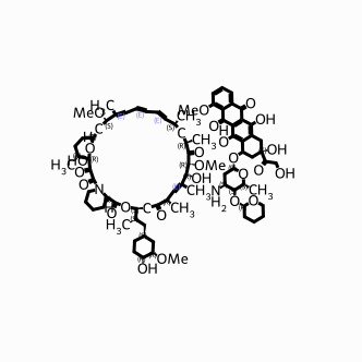 CO[C@H]1C[C@@H]2CC[C@@H](C)[C@@](O)(O2)C(=O)C(=O)N2CCCC[C@H]2C(=O)O[C@H]([C@@H](C)C[C@@H]2CC[C@@H](O)[C@H](OC)C2)CC(=O)[C@H](C)/C=C(\C)[C@@H](O)[C@@H](OC)C(=O)[C@H](C)C[C@H](C)/C=C/C=C/C=C/1C.COc1cccc2c1C(=O)c1c(O)c3c(c(O)c1C2=O)C[C@@](O)(C(=O)CO)CC3O[C@H]1C[C@H](N)[C@H](O[C@@H]2CCCCO2)[C@H](C)O1